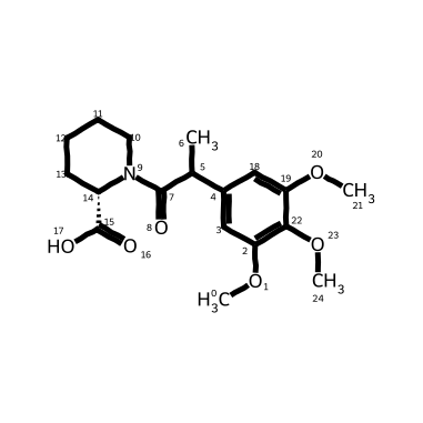 COc1cc(C(C)C(=O)N2CCCC[C@H]2C(=O)O)cc(OC)c1OC